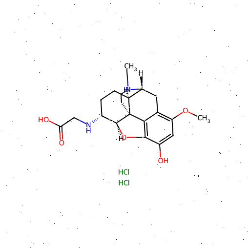 COc1cc(O)c2c3c1C[C@@H]1[C@@H]4CC[C@@H](NCC(=O)O)[C@H](O2)[C@]34CCN1C.Cl.Cl